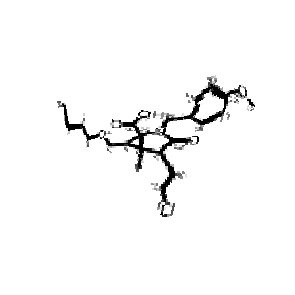 CCCCOCC1C2(C)C(CCCl)C(=O)N(Cc3ccc(OC)cc3)C12C(=O)O